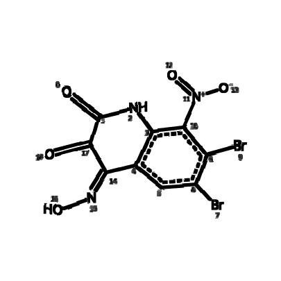 O=C1Nc2c(cc(Br)c(Br)c2[N+](=O)[O-])C(=NO)C1=O